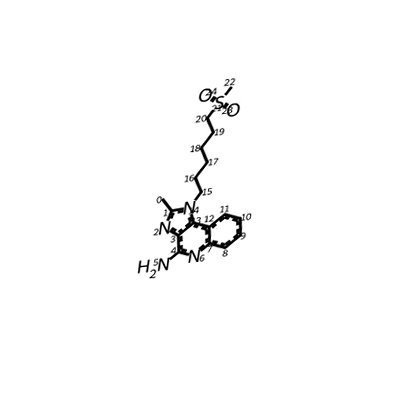 Cc1nc2c(N)nc3ccccc3c2n1CCCCCCS(C)(=O)=O